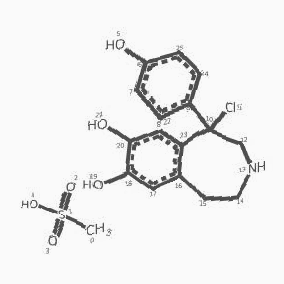 CS(=O)(=O)O.Oc1ccc(C2(Cl)CNCCc3cc(O)c(O)cc32)cc1